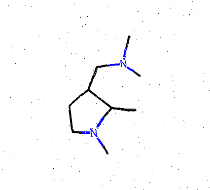 CC1C(CN(C)C)CCN1C